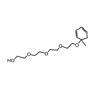 CC1(OCCOCCOCCOCCO)C=CC=CC1